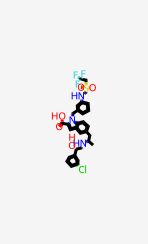 CC(Cc1ccc2c(c1)cc(C(=O)O)n2Cc1cccc(NCS(=O)(=O)CC(F)(F)F)c1)NCC(O)c1cccc(Cl)c1